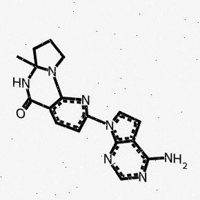 CC12CCCN1c1nc(-n3ccc4c(N)ncnc43)ccc1C(=O)N2